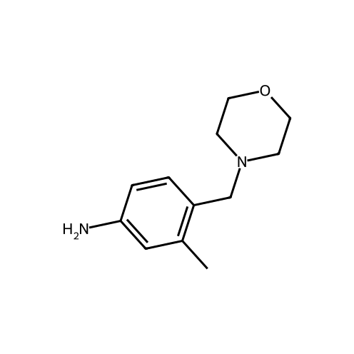 Cc1cc(N)ccc1CN1CCOCC1